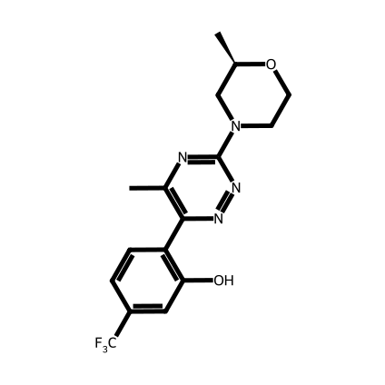 Cc1nc(N2CCO[C@H](C)C2)nnc1-c1ccc(C(F)(F)F)cc1O